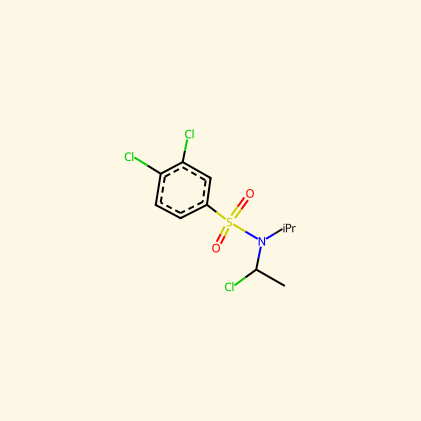 CC(C)N(C(C)Cl)S(=O)(=O)c1ccc(Cl)c(Cl)c1